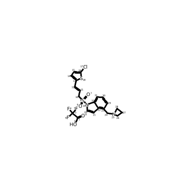 O=C(O)C(F)(F)F.O=S(=O)(CC=Cc1ccc(Cl)s1)n1ccc2c(CN3CCC3)cccc21